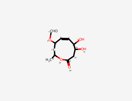 CC1CC(OC=O)C=CC(O)C(O)CC(=O)O1